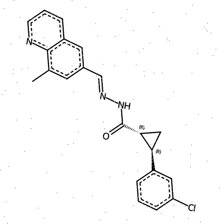 Cc1cc(C=NNC(=O)[C@@H]2C[C@H]2c2cccc(Cl)c2)cc2cccnc12